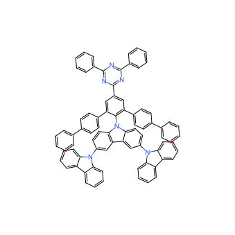 c1ccc(-c2ccc(-c3cc(-c4nc(-c5ccccc5)nc(-c5ccccc5)n4)cc(-c4ccc(-c5ccccc5)cc4)c3-n3c4ccc(-n5c6ccccc6c6ccccc65)cc4c4cc(-n5c6ccccc6c6ccccc65)ccc43)cc2)cc1